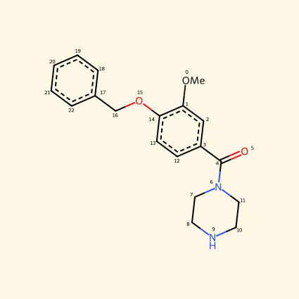 COc1cc(C(=O)N2CCNCC2)ccc1OCc1ccccc1